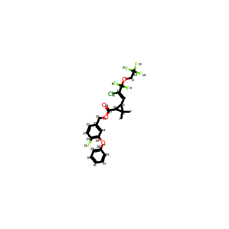 CC1(C)C(C=C(Cl)C(F)(F)OCC(F)(F)F)C1C(=O)OCc1ccc(F)c(Oc2ccccc2)c1